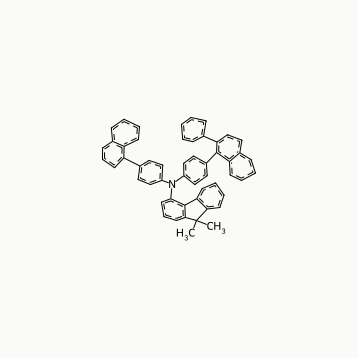 CC1(C)c2ccccc2-c2c(N(c3ccc(-c4cccc5ccccc45)cc3)c3ccc(-c4c(-c5ccccc5)ccc5ccccc45)cc3)cccc21